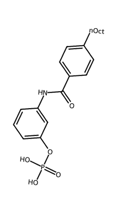 CCCCCCCCc1ccc(C(=O)Nc2cccc(OP(=O)(O)O)c2)cc1